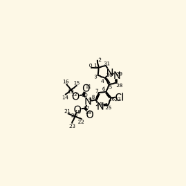 CC1(C)Cc2c(-c3cc(N(C(=O)OC(C)(C)C)C(=O)OC(C)(C)C)ncc3Cl)cnn2C1